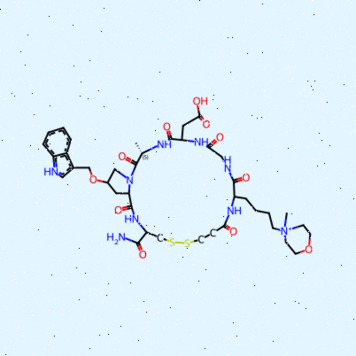 C[C@@H]1NC(=O)C(CC(=O)O)NC(=O)CNC(=O)C(CCCC[N+]2(C)CCOCC2)NC(=O)CCSSCC(C(N)=O)NC(=O)C2CC(OCc3c[nH]c4ccccc34)CN2C1=O